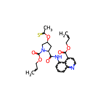 C=CCOC(=O)c1ccnc2cccc(NC(=O)[C@@H]3C[C@H](OC(C)=S)CN3C(=O)OCC=C)c12